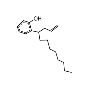 C=CCC(CCCCCCCC)c1ccccc1O